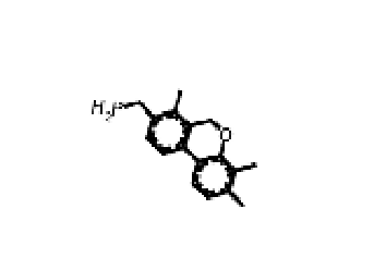 Cc1ccc2c(c1C)OCc1c-2ccc(CP)c1C